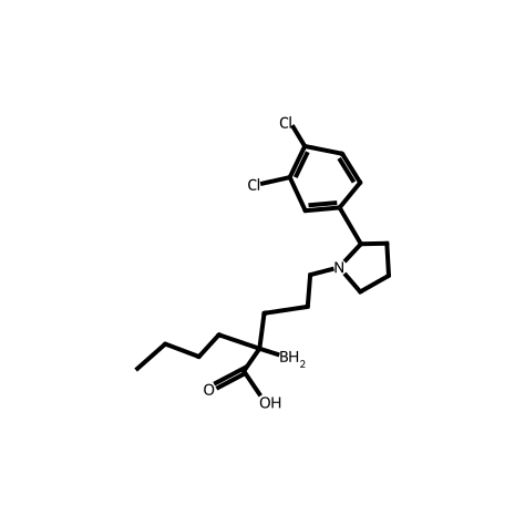 BC(CCCC)(CCCN1CCCC1c1ccc(Cl)c(Cl)c1)C(=O)O